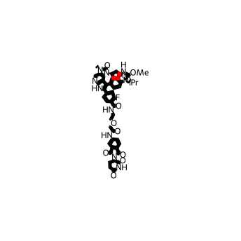 COC(=O)N[C@@H]1CC[C@@H](n2c(=O)n(C)c3cnc4[nH]c(-c5ccc(C(=O)NCCOCC(=O)Nc6ccc7c(c6)C(=O)N(C6CCC(=O)NC6=O)C7=O)c(F)c5)c(-c5ccc6c(cnn6C(C)C)c5)c4c32)C1